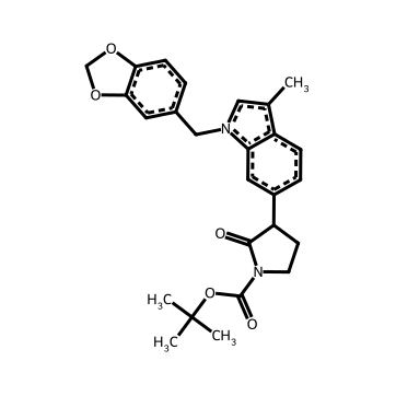 Cc1cn(Cc2ccc3c(c2)OCO3)c2cc(C3CCN(C(=O)OC(C)(C)C)C3=O)ccc12